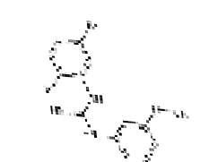 N=C(Nc1cccc(OC(F)(F)F)c1)Nc1cc(Br)ccc1Br